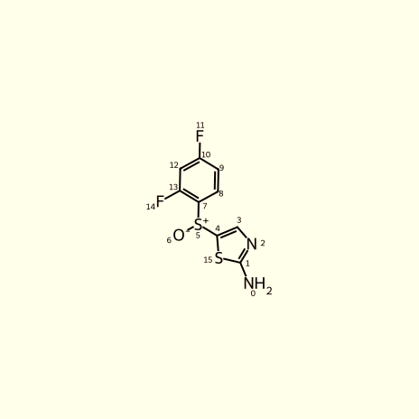 Nc1ncc([S+]([O-])c2ccc(F)cc2F)s1